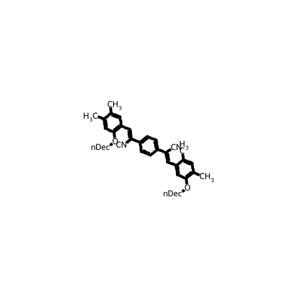 [C-]#[N+]/C(=C\c1cc(C)c(C)cc1OCCCCCCCCCC)c1ccc(/C(C#N)=C/c2cc(OCCCCCCCCCC)c(C)cc2C)cc1